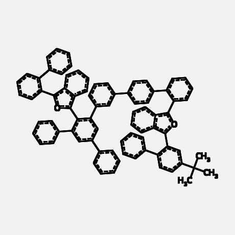 CC(C)(C)c1ccc(-c2ccccc2)c(-c2oc(-c3ccccc3-c3ccc(-c4cccc(-c5cc(-c6ccccc6)cc(-c6ccccc6)c5-c5oc(-c6ccccc6-c6ccccc6)c6ccccc56)c4)cc3)c3ccccc23)c1